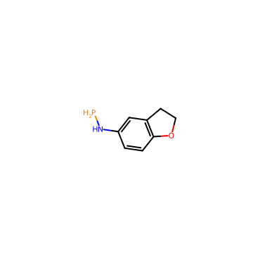 PNc1ccc2c(c1)CCO2